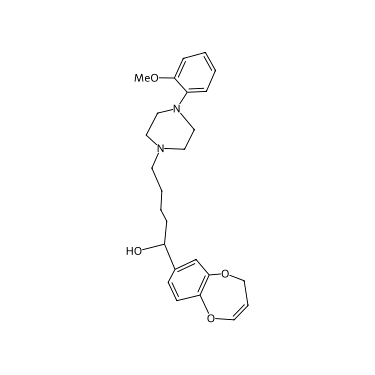 COc1ccccc1N1CCN(CCCCC(O)c2ccc3c(c2)OCC=CO3)CC1